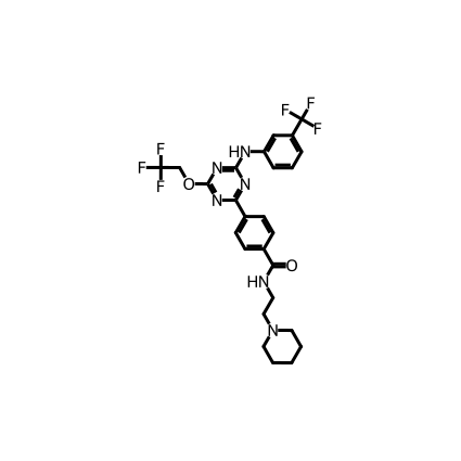 O=C(NCCN1CCCCC1)c1ccc(-c2nc(Nc3cccc(C(F)(F)F)c3)nc(OCC(F)(F)F)n2)cc1